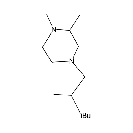 CCC(C)C(C)CN1CCN(C)C(C)C1